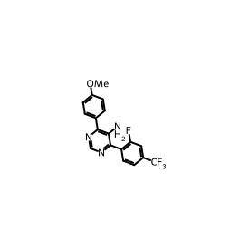 COc1ccc(-c2ncnc(-c3ccc(C(F)(F)F)cc3F)c2N)cc1